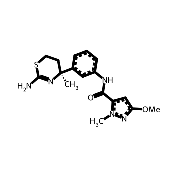 COc1cc(C(=O)Nc2cccc([C@]3(C)CCSC(N)=N3)c2)n(C)n1